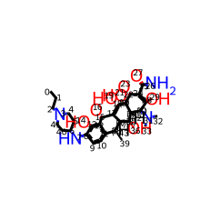 CCCN1CCC(Nc2ccc3c(c2O)C(=O)C2=C(O)[C@]4(O)C(=O)C(C(N)=O)=C(O)[C@@H](N(C)C)[C@@H]4[C@@H](O)[C@@H]2[C@H]3C)CC1